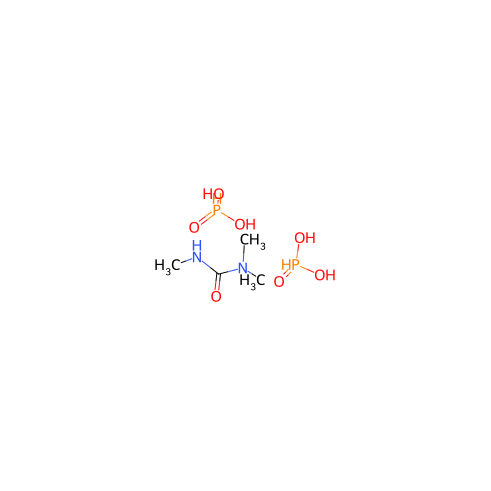 CNC(=O)N(C)C.O=[PH](O)O.O=[PH](O)O